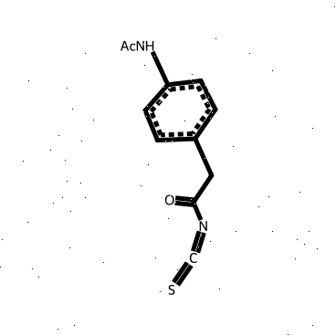 CC(=O)Nc1ccc(CC(=O)N=C=S)cc1